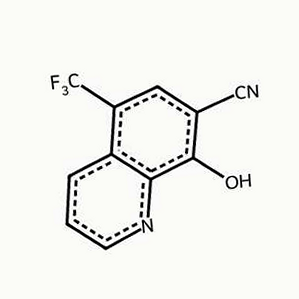 N#Cc1cc(C(F)(F)F)c2cccnc2c1O